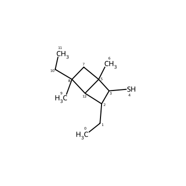 CCC1C(S)C2(C)CC(C)(CC)C12